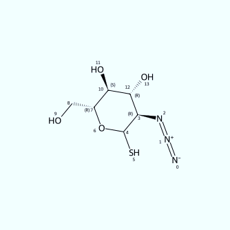 [N-]=[N+]=N[C@H]1C(S)O[C@H](CO)[C@@H](O)[C@@H]1O